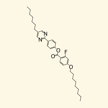 CCCCCCCCCOc1ccc(C(=O)Oc2ccc(-c3ncc(CCCCCCC)cn3)cc2)c(F)c1